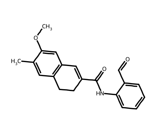 COc1cc2c(cc1C)CCC(C(=O)Nc1ccccc1C=O)=C2